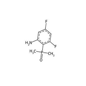 CP(C)(=O)c1c(N)cc(F)cc1F